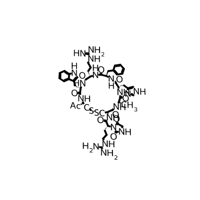 CC(=O)[C@@H]1CSSC[C@H](NC(=O)[C@@H](CCCNC(N)N)N2C(=O)CNC2=O)C(=O)N[C@H](C)C(=O)N[C@@H](Cc2c[nH]cn2)C(=O)N[C@H](Cc2ccccc2)C(=O)N[C@@H](CCCNC(=N)N)C(=O)N[C@@H](Cc2c[nH]c3ccccc23)C(=O)N1